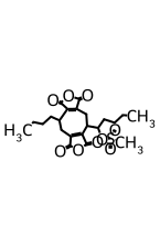 CCCCC1CC2=C(C(=O)OC2=O)C(C(CCCC)OS(C)(=O)=O)CC2=C1C(=O)OC2=O